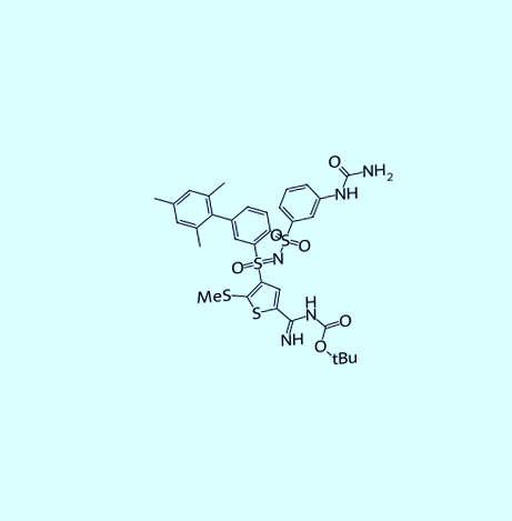 CSc1sc(C(=N)NC(=O)OC(C)(C)C)cc1S(=O)(=NS(=O)(=O)c1cccc(NC(N)=O)c1)c1cccc(-c2c(C)cc(C)cc2C)c1